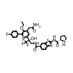 CCOc1c(CC(N)=O)cc([C@@](O)(CNC(=O)c2ccc3nc(NC(=O)[C@@H]4CCCN4)sc3c2)C(F)(F)F)nc1-c1ccc(F)cc1